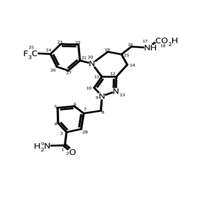 NC(=O)c1cccc(Cn2cc3c(n2)CC(CNC(=O)O)CN3c2ccc(C(F)(F)F)cc2)c1